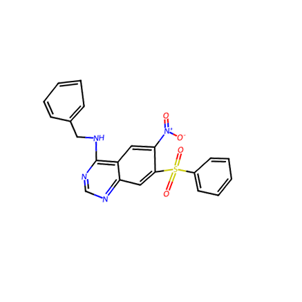 O=[N+]([O-])c1cc2c(NCc3ccccc3)ncnc2cc1S(=O)(=O)c1ccccc1